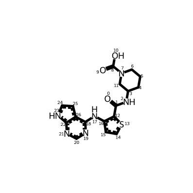 O=C(NC1CCCN(C(=O)O)C1)c1sccc1Nc1ncnc2[nH]ccc12